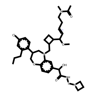 CCCc1cc(Cl)ccc1C1COc2ccc(C(O)C(=O)NSN3CCC3)cc2N(CC2CCC2C(/C=C/CCN(C)C(C)=O)OC)C1